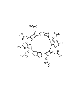 COC(=O)COc1cc(OCC(=O)O)c2cc1Cc1cc(c(OCC(=O)O)cc1OCC(=O)O)-c1ccc3ccc(cc3c1)-c1cc(c(OCC(=O)O)cc1OCC(=O)OC)Cc1cc(c(OCC(=O)OC)cc1OCC(=O)O)-c1ccc3ccc-2cc3c1